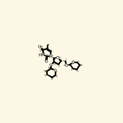 Cc1cn([C@@H]2O[C@H](COC3CCCCO3)CC2OC2CCCCO2)c(=O)[nH]c1=O